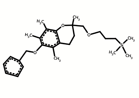 Cc1c(C)c2c(c(C)c1OCc1ccccc1)CCC(C)(COCCC[Si](C)(C)C)O2